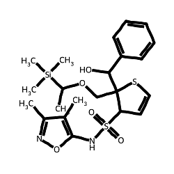 Cc1noc(NS(=O)(=O)C2C=CSC2(COC(C)[Si](C)(C)C)C(O)c2ccccc2)c1C